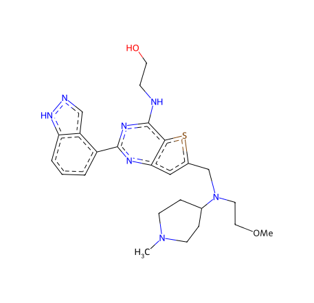 COCCN(Cc1cc2nc(-c3cccc4[nH]ncc34)nc(NCCO)c2s1)C1CCN(C)CC1